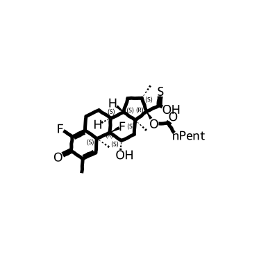 CCCCCC(=O)O[C@]1(C(O)=S)[C@@H](C)C[C@H]2[C@@H]3CCC4=C(F)C(=O)C(C)=C[C@]4(C)[C@@]3(F)[C@@H](O)C[C@@]21C